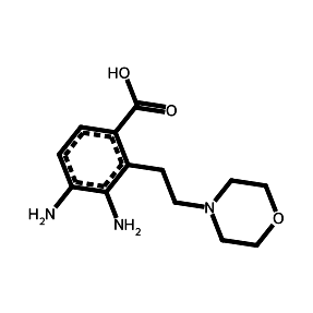 Nc1ccc(C(=O)O)c(CCN2CCOCC2)c1N